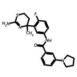 CC1(c2cc(NC(=O)c3cccc(N4CCCC4)c3)ccc2F)CCSC(N)=N1